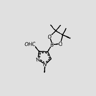 Cn1cc(B2OC(C)(C)C(C)(C)O2)c(C=O)n1